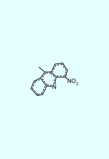 Cc1c2ccccc2nc2c([N+](=O)[O-])cccc12